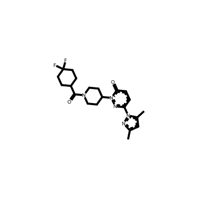 Cc1cc(C)n(-c2ccc(=O)n(C3CCN(C(=O)C4CCC(F)(F)CC4)CC3)n2)n1